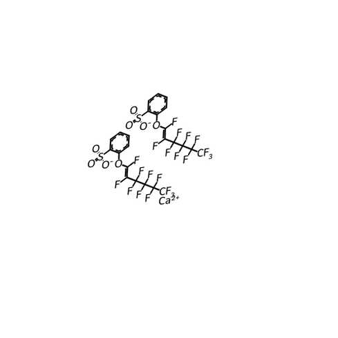 O=S(=O)([O-])c1ccccc1OC(F)=C(F)C(F)(F)C(F)(F)C(F)(F)C(F)(F)F.O=S(=O)([O-])c1ccccc1OC(F)=C(F)C(F)(F)C(F)(F)C(F)(F)C(F)(F)F.[Ca+2]